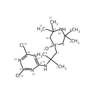 CC(C)(C[N+]1([O-])CC(C)(C)NC(C)(C)C1)Nc1nc(Cl)nc(Cl)n1